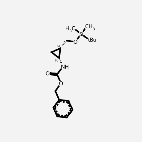 CC(C)(C)[Si](C)(C)OC[C@H]1C[C@H]1NC(=O)OCc1ccccc1